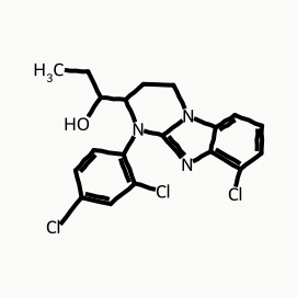 CCC(O)C1CCn2c(nc3c(Cl)cccc32)N1c1ccc(Cl)cc1Cl